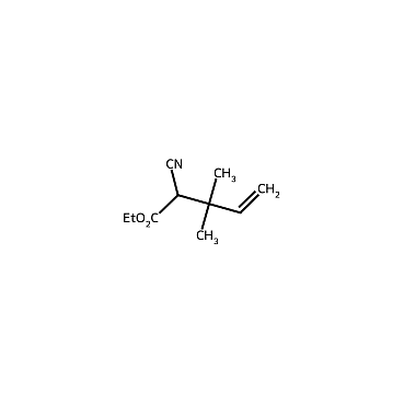 C=CC(C)(C)C(C#N)C(=O)OCC